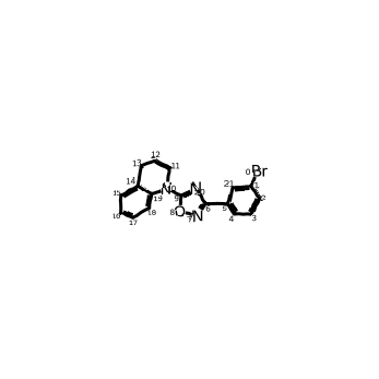 Brc1cccc(-c2noc(N3CCCc4ccccc43)n2)c1